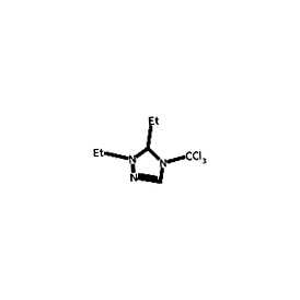 CCC1N(CC)N=CN1C(Cl)(Cl)Cl